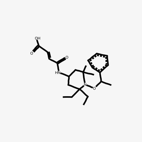 CCC1(CC)CC(NC(=O)C=CC(=O)O)CC(C)(C)N1OC(C)c1ccccc1